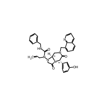 C=CCN(C(=O)NCc1ccccc1)N1CC(=O)N2[C@@H](c3cccc(O)c3)C(=O)N(Cc3cccc4cccnc34)C[C@@H]21